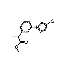 COC(=O)C(C)c1cccc(-n2cc(Cl)cn2)c1